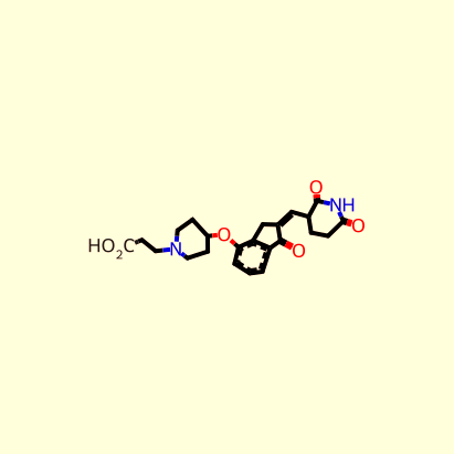 O=C(O)CCN1CCC(Oc2cccc3c2C/C(=C/C2CCC(=O)NC2=O)C3=O)CC1